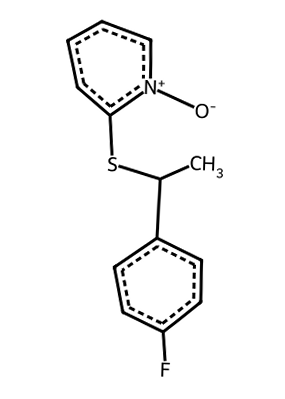 CC(Sc1cccc[n+]1[O-])c1ccc(F)cc1